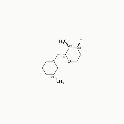 C[C@@H]1CCCN(C[C@H]2OCC[C@H](F)[C@@H]2C)C1